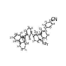 CCCn1c2ccc(-c3ccc(C#N)cc3)cc2c2cc(-c3cccc(-n4c5ccccc5c5ccccc54)c3)ccc21